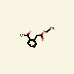 CCOC(=O)Cc1ccccc1C(C)=O